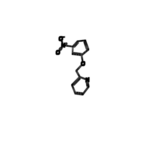 O=[N+]([O-])c1cccc(OCc2ccccn2)c1